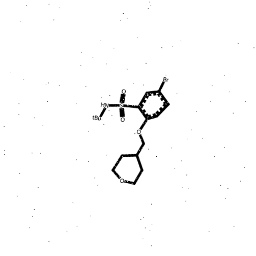 CC(C)(C)NS(=O)(=O)c1cc(Br)ccc1OCC1CCOCC1